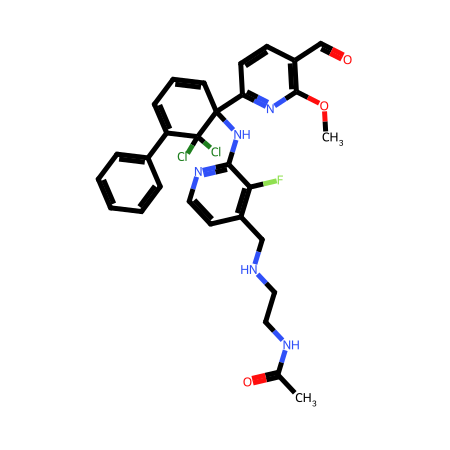 COc1nc(C2(Nc3nccc(CNCCNC(C)=O)c3F)C=CC=C(c3ccccc3)C2(Cl)Cl)ccc1C=O